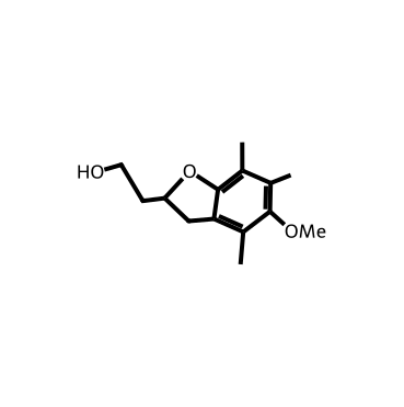 COc1c(C)c(C)c2c(c1C)CC(CCO)O2